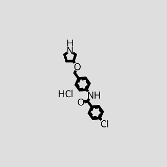 Cl.O=C(Nc1ccc(COC2CCNC2)cc1)c1ccc(Cl)cc1